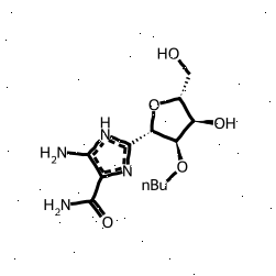 CCCCO[C@@H]1[C@H](O)[C@@H](CO)O[C@H]1c1nc(C(N)=O)c(N)[nH]1